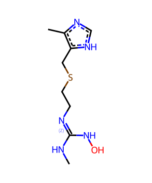 CN/C(=N/CCSCc1[nH]cnc1C)NO